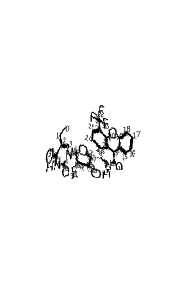 CCc1cn([C@@H]2O[C@H](CN(C)C(=O)C3c4ccccc4Oc4c3cccc4C(F)(F)F)[C@@H](O)[C@@H]2F)c(=O)[nH]c1=O